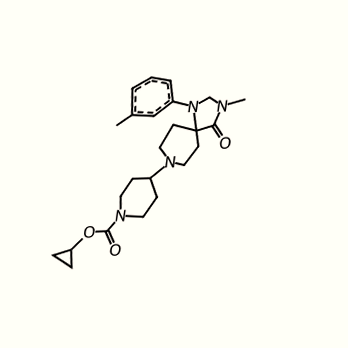 Cc1cccc(N2CN(C)C(=O)C23CCN(C2CCN(C(=O)OC4CC4)CC2)CC3)c1